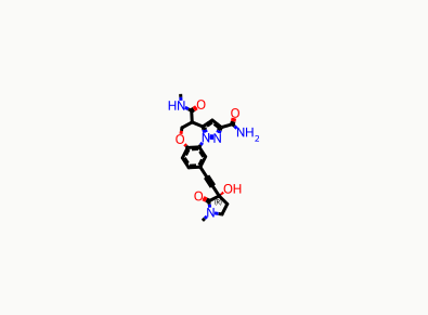 CNC(=O)C1COc2ccc(C#C[C@]3(O)CCN(C)C3=O)cc2-n2nc(C(N)=O)cc21